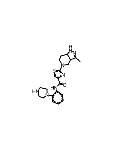 CC1=NNC2CCN(c3nc(C(=O)Nc4ccccc4N4CCNCC4)cs3)CC12